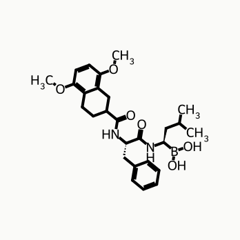 COc1ccc(OC)c2c1CCC(C(=O)N[C@@H](Cc1ccccc1)C(=O)N[C@@H](CC(C)C)B(O)O)C2